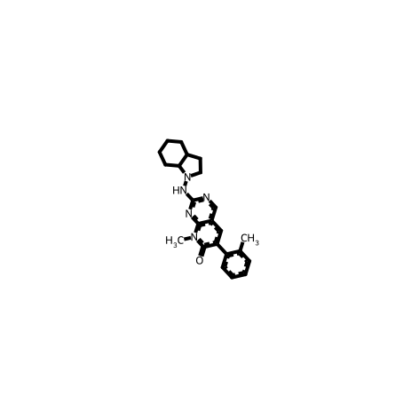 Cc1ccccc1-c1cc2cnc(NN3CCC4CCCCC43)nc2n(C)c1=O